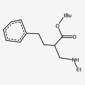 CCNCC(CCc1ccccc1)C(=O)OC(C)(C)C